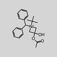 CC(=O)OC1(O)C[N+](C(c2ccccc2)c2ccccc2)(C(C)(C)C)C1